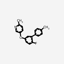 Cc1ccc(-c2cc(Oc3ccc(C)nc3)ccc2F)cc1